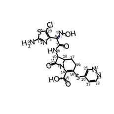 Nc1nc(/C(=N/O)C(=O)NC2C(=O)N3C(C(=O)O)=C(Sc4ccnnc4)CCC23)c(Cl)s1